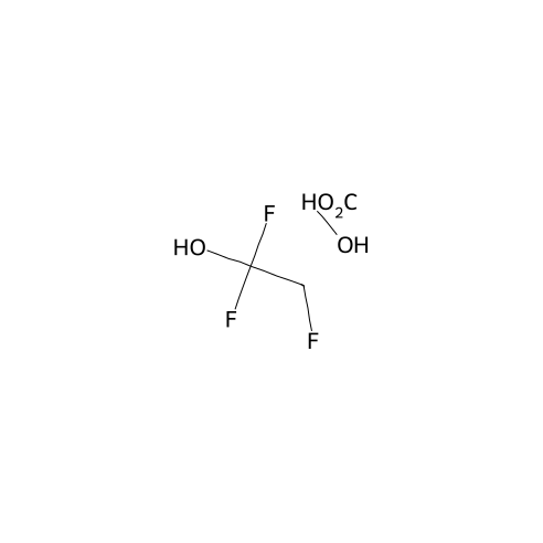 O=C(O)O.OC(F)(F)CF